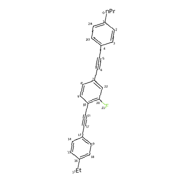 CCCc1ccc(C#Cc2ccc(C#Cc3ccc(CC)cc3)c(F)c2)cc1